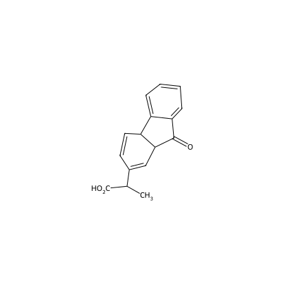 CC(C(=O)O)C1=CC2C(=O)c3ccccc3C2C=C1